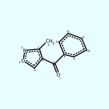 Cc1nocc1C(=O)c1ccccc1